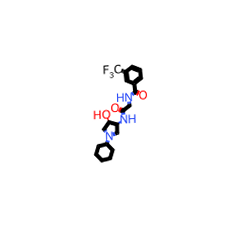 O=C(CNC(=O)c1cccc(C(F)(F)F)c1)N[C@H]1CN(C2CCCCC2)C[C@@H]1O